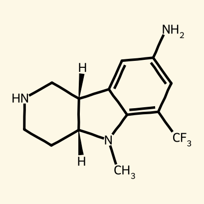 CN1c2c(cc(N)cc2C(F)(F)F)[C@H]2CNCC[C@H]21